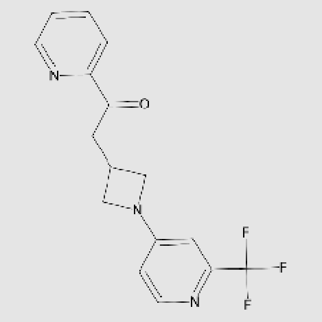 O=C(CC1CN(c2ccnc(C(F)(F)F)c2)C1)c1ccccn1